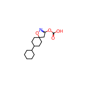 O=C(O)OC1=NOC2(CCC(C3CCCCC3)CC2)C1